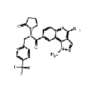 Cn1ncc2c(N)nc3ccc(C(=O)N(Cc4ccc(C(F)(F)F)cn4)N4CCCC4=O)cc3c21